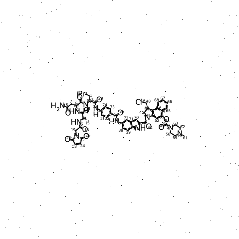 CC(C)C[C@H](NC(=O)[C@H](CC(N)=O)NC(=O)[C@H](C)NC(=O)CN1C(=O)C=CC1=O)C(=O)Nc1ccc(C(=O)Nc2ccc3[nH]c(C(=O)N4C[C@@H](CCl)c5c4cc(OC(=O)N4CCN(C)CC4)c4ccccc54)cc3c2)cc1